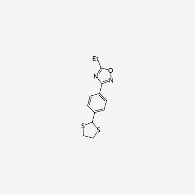 CCc1nc(-c2ccc(C3SCCS3)cc2)no1